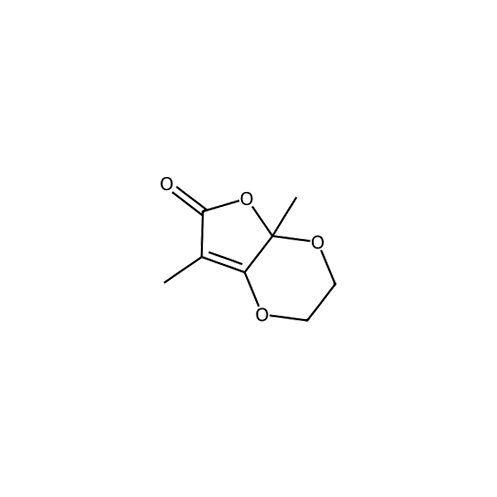 CC1=C2OCCOC2(C)OC1=O